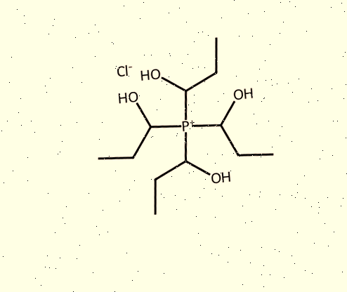 CCC(O)[P+](C(O)CC)(C(O)CC)C(O)CC.[Cl-]